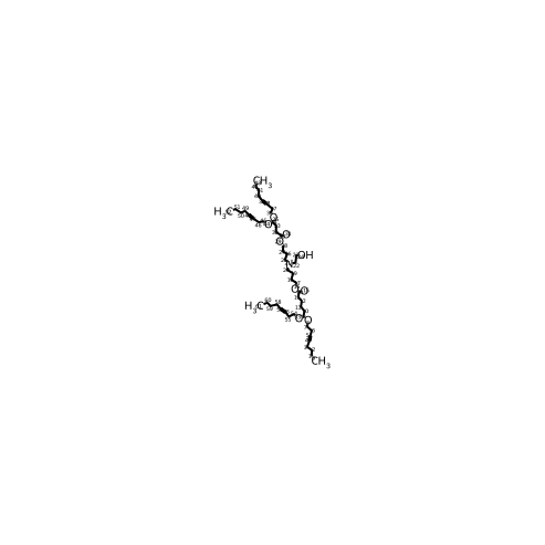 CCCCC#CCCOC(CCCCC(=O)OCCCCN(CCO)CCCCOC(=O)CCC(OCCC#CCCCC)OCCC#CCCCC)OCCC#CCCCC